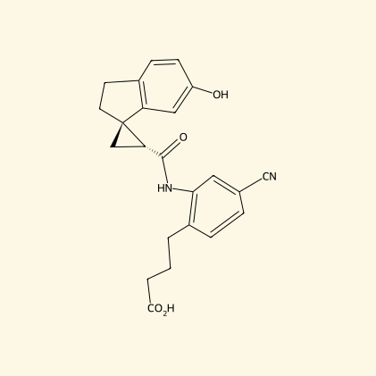 N#Cc1ccc(CCCC(=O)O)c(NC(=O)[C@@H]2C[C@]23CCc2ccc(O)cc23)c1